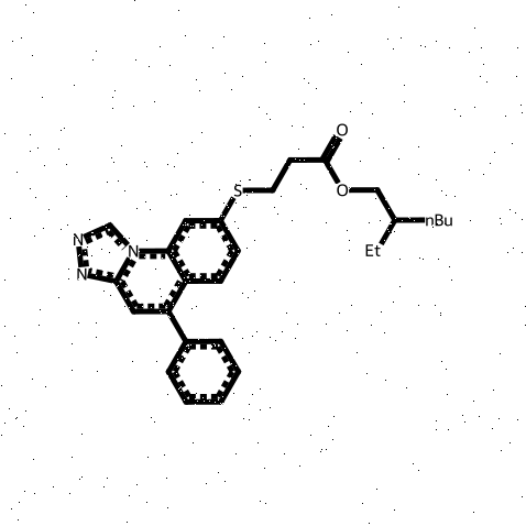 CCCCC(CC)COC(=O)CCSc1ccc2c(-c3ccccc3)cc3nncn3c2c1